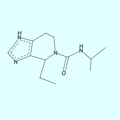 CCC1c2nc[nH]c2CCN1C(=O)NC(C)C